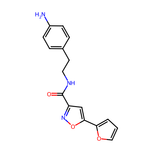 Nc1ccc(CCNC(=O)c2cc(-c3ccco3)on2)cc1